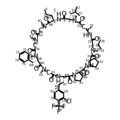 CC[C@H](C)[C@@H]1NC(=O)[C@H](CC(C)C)N(C)C(=O)C[C@@H](C)NC(=O)[C@H](C(C)C)N(C)C(=O)C2(CCCC2)NC(=O)[C@@H]2CCCN2C(=O)[C@H](CCc2ccc(C(F)(F)F)c(Cl)c2)NC(=O)CN(C)C(=O)[C@H](Cc2ccccc2)N(C)C(=O)CN(C)C(=O)CN(C)C1=O